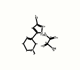 CCc1cc(C2=CCCN(C)C2)on1.O=C(O)C(=O)O